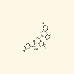 O=C(NCc1cc(Cl)ccc1-c1cnco1)C1C[C@@H](F)CN1C(=O)[C@H](O)c1cccc(Cl)c1